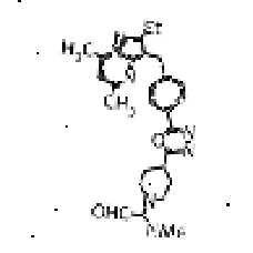 CCc1nn2c(C)cc(C)nc2c1Cc1ccc(-c2nnc(C3CCN(C(C=O)NC)CC3)o2)cc1